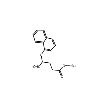 CC(C)(C)OC(=O)CCC([C]=O)Oc1cccc2ccccc12